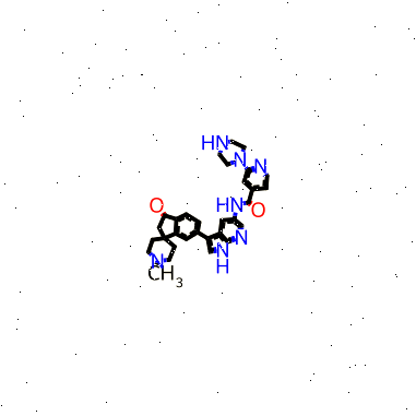 CN1CCC2(CC1)CC(=O)c1ccc(-c3c[nH]c4ncc(NC(=O)c5ccnc(N6CCNCC6)c5)cc34)cc12